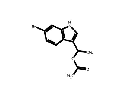 CC(=O)OC(C)c1c[nH]c2cc(Br)ccc12